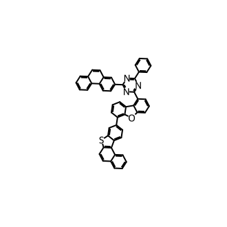 c1ccc(-c2nc(-c3ccc4c(ccc5ccccc54)c3)nc(-c3cccc4oc5c(-c6ccc7c(c6)sc6ccc8ccccc8c67)cccc5c34)n2)cc1